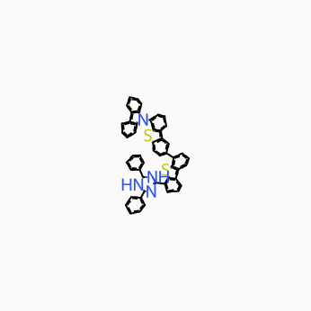 c1ccc(C2N=C(c3cccc4c3sc3c(-c5ccc6sc7c(-n8c9ccccc9c9ccccc98)cccc7c6c5)cccc34)NC(c3ccccc3)N2)cc1